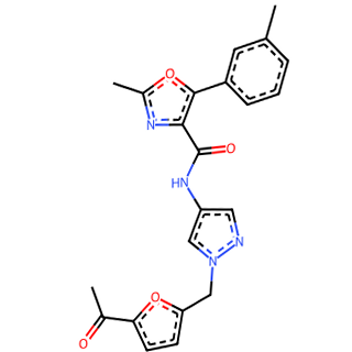 CC(=O)c1ccc(Cn2cc(NC(=O)c3nc(C)oc3-c3cccc(C)c3)cn2)o1